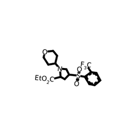 CCOC(=O)C1CC(S(=O)(=O)c2ccccc2C(F)(F)F)CN1C1CCOCC1